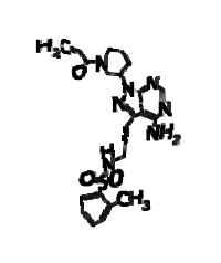 C=CC(=O)N1CCCC(n2nc(C#CCNS(=O)(=O)c3ccccc3C)c3c(N)ncnc32)C1